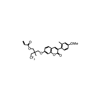 C=CC(=O)OCC(C)(COc1ccc2cc(-c3ccc(OC)cc3C)c(=O)oc2c1)CC(F)(F)F